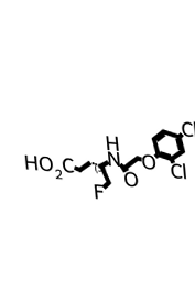 O=C(O)CC[C@@H](CF)NC(=O)COc1ccc(Cl)cc1Cl